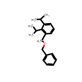 CC(C)c1cccc([SiH2]OCc2ccccc2)c1C(C)C